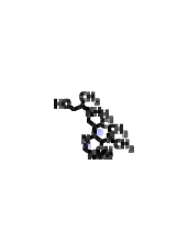 CN/C=N\C(=C(\C)CNC(C)CO)C(O)N(C)C